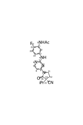 CC(=O)Nc1cc(Nc2nccc(N3CC[C@@](C#N)(C(C)C)C3=O)n2)ccc1F